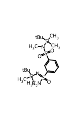 CN([Si](C)(C)C(C)(C)C)S(=O)(=O)c1cccc(S(N)(=O)=N[Si](C)(C)C(C)(C)C)c1